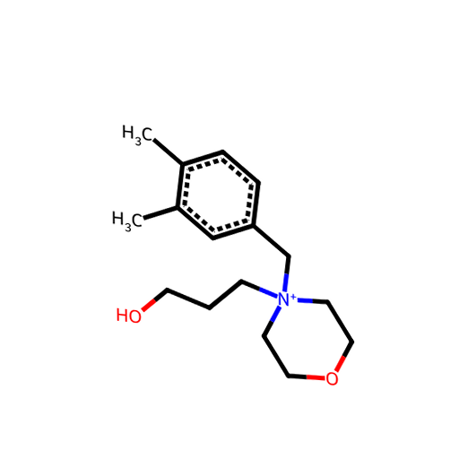 Cc1ccc(C[N+]2(CCCO)CCOCC2)cc1C